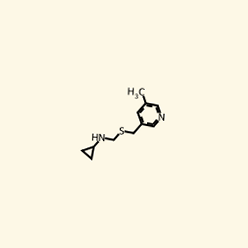 Cc1cncc(CSCNC2CC2)c1